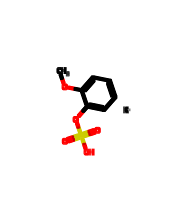 COc1ccccc1OS(=O)(=O)O.[K]